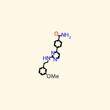 COc1cccc(CCNc2nccc(-c3ccc(C(N)=O)cc3)n2)c1